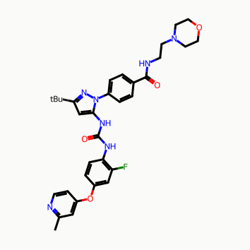 Cc1cc(Oc2ccc(NC(=O)Nc3cc(C(C)(C)C)nn3-c3ccc(C(=O)NCCN4CCOCC4)cc3)c(F)c2)ccn1